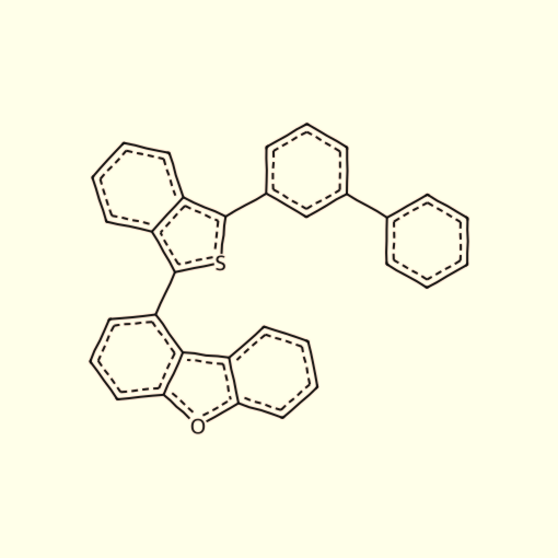 c1ccc(-c2cccc(-c3sc(-c4cccc5oc6ccccc6c45)c4ccccc34)c2)cc1